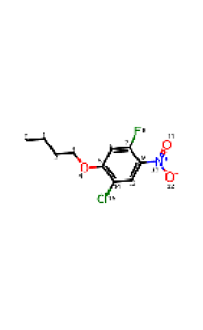 CCCCOc1cc(F)c([N+](=O)[O-])cc1Cl